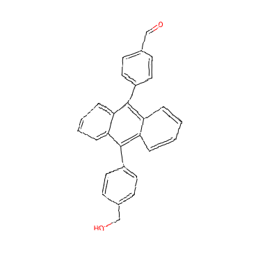 O=Cc1ccc(-c2c3ccccc3c(-c3ccc(CO)cc3)c3ccccc23)cc1